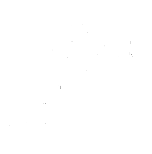 Cn1cc(-c2cc(-c3ccc(N4CCN(C(=O)CC5CC5)CC4)nc3)c3c(C#N)cnn3c2)cn1